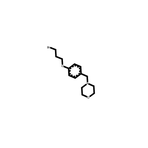 BrCCCOc1ccc(CN2CCOCC2)cc1